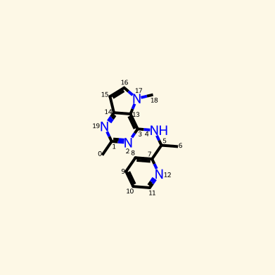 Cc1nc(NC(C)c2ccccn2)c2c(ccn2C)n1